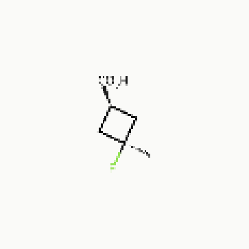 C[C@]1(F)C[C@@H](C(=O)O)C1